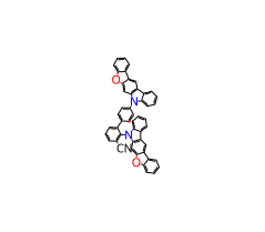 N#Cc1cccc(-c2ccc(-n3c4ccccc4c4cc5c(cc43)oc3ccccc35)cc2)c1-n1c2ccccc2c2cc3c(cc21)oc1ccccc13